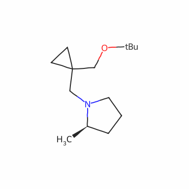 C[C@@H]1CCCN1CC1(COC(C)(C)C)CC1